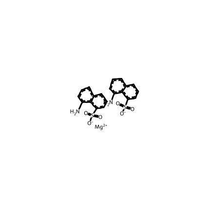 Nc1cccc2cccc(S(=O)(=O)[O-])c12.Nc1cccc2cccc(S(=O)(=O)[O-])c12.[Mg+2]